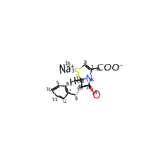 O=C([O-])C1=CS[C@H]2[C@@H](Cc3ccccc3)C(=O)N12.[Na+]